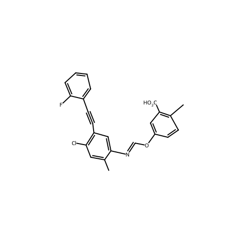 Cc1cc(Cl)c(C#Cc2ccccc2F)cc1/N=C/Oc1ccc(C)c(C(=O)O)c1